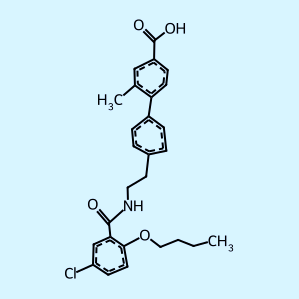 CCCCOc1ccc(Cl)cc1C(=O)NCCc1ccc(-c2ccc(C(=O)O)cc2C)cc1